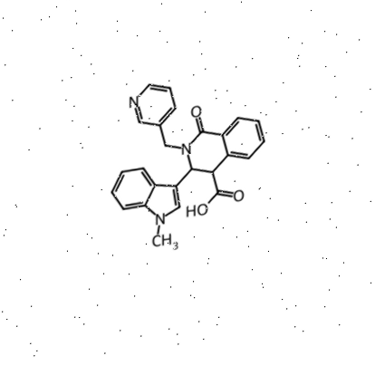 Cn1cc(C2C(C(=O)O)c3ccccc3C(=O)N2Cc2cccnc2)c2ccccc21